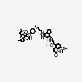 Cc1ccc(C(O)(C(=O)O[C@H]2CC[C@H](N(C)CCCn3nnc4cc(CNC[C@H](O)c5ccc(O)c6[nH]c(=O)ccc56)c5c(c43)CCC5)CC2)c2ccc(C)s2)s1